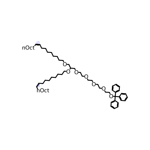 CCCCCCCC/C=C\CCCCCCCCOCC(COCCOCCOCCOCCOC(c1ccccc1)(c1ccccc1)c1ccccc1)OCCCCCCCC/C=C\CCCCCCCC